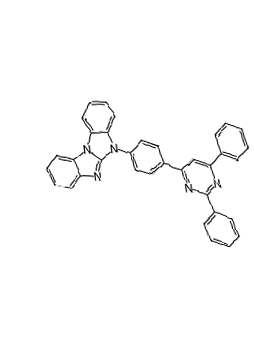 c1ccc(-c2cc(-c3ccc(-n4c5ccccc5n5c6ccccc6nc45)cc3)nc(-c3ccccc3)n2)cc1